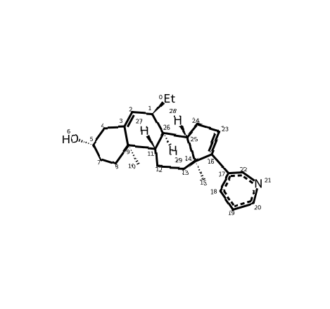 CC[C@@H]1C=C2C[C@@H](O)CC[C@]2(C)[C@H]2CC[C@]3(C)C(c4cccnc4)=CC[C@H]3[C@H]12